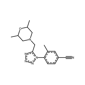 Cc1cc(C#N)ccc1-n1nnnc1CN1CC(C)OC(C)C1